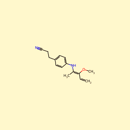 C=C/C(OC)=C(\C)Nc1ccc(CCC#N)cc1